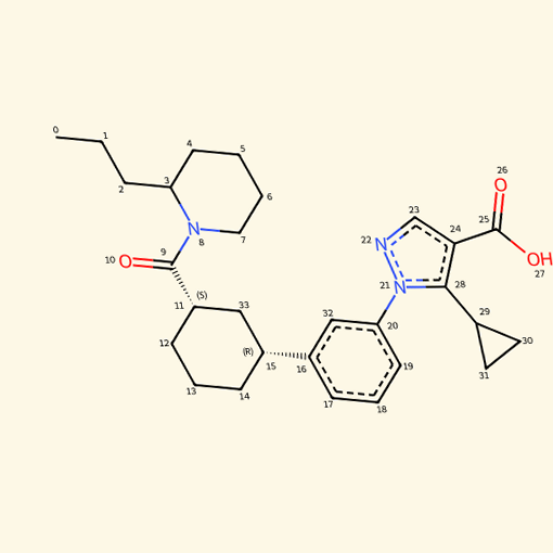 CCCC1CCCCN1C(=O)[C@H]1CCC[C@@H](c2cccc(-n3ncc(C(=O)O)c3C3CC3)c2)C1